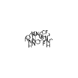 O=C(CC(F)(F)F)N1CCN(Cc2ccnc(Nc3nc4ccc(-c5ncnc(NC6CC6)c5F)cc4[nH]3)c2)CC1